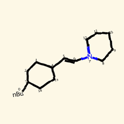 CCCCC1CCC(C=CN2CCCCC2)CC1